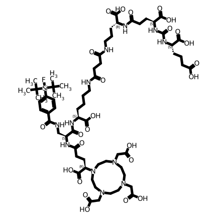 CC(C)(C)[Si](F)(c1ccc(C(=O)NC[C@H](NC(=O)CC[C@H](C(=O)O)N2CCN(CC(=O)O)CCN(CC(=O)O)CCN(CC(=O)O)CC2)C(=O)N[C@@H](CCCCNC(=O)CCC(=O)NCCC[C@@H](NC(=O)CC[C@H](NC(=O)N[C@@H](CCCC(=O)O)C(=O)O)C(=O)O)C(=O)O)C(=O)O)cc1)C(C)(C)C